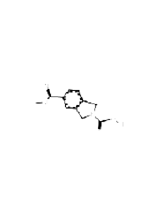 CC(C)(C)OC(=O)N1Cc2ccc(C(=N)NO)cc2C1